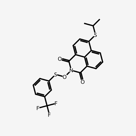 CC(C)Sc1ccc2c3c(cccc13)C(=O)N(OSc1cccc(C(F)(F)F)c1)C2=O